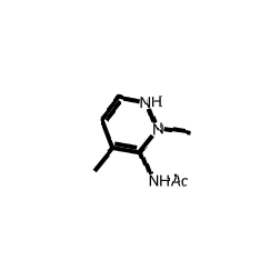 [CH2]C(=O)NC1=C(C)C=CNN1C